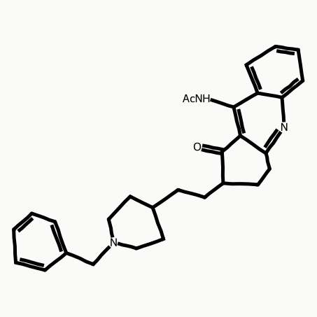 CC(=O)Nc1c2c(nc3ccccc13)CCC(CCC1CCN(Cc3ccccc3)CC1)C2=O